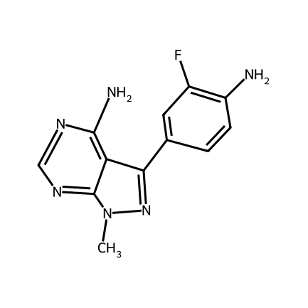 Cn1nc(-c2ccc(N)c(F)c2)c2c(N)ncnc21